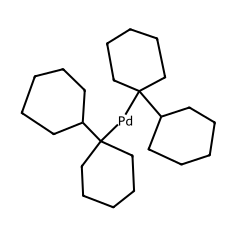 C1CCC([C]2([Pd][C]3(C4CCCCC4)CCCCC3)CCCCC2)CC1